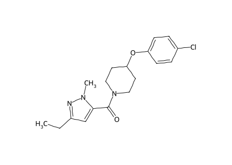 CCc1cc(C(=O)N2CCC(Oc3ccc(Cl)cc3)CC2)n(C)n1